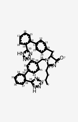 CCCCC1=NC(=O)C(Cc2ccc(-c3ccccc3-c3nnn[nH]3)cc2)N1Cc1ccc(-c2ccccc2-c2nnn[nH]2)cc1